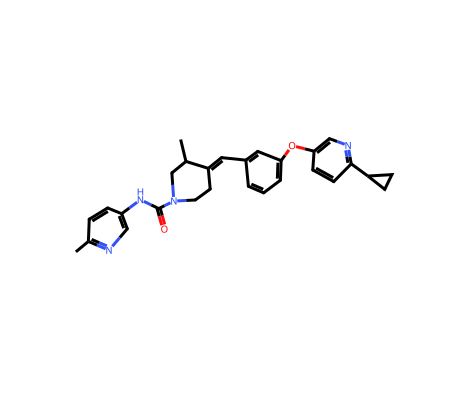 Cc1ccc(NC(=O)N2CCC(=Cc3cccc(Oc4ccc(C5CC5)nc4)c3)C(C)C2)cn1